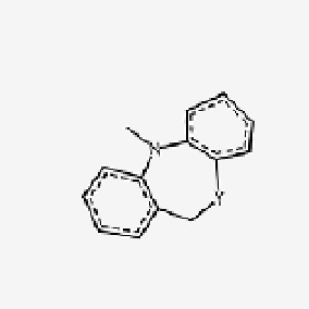 CN1c2ccccc2[CH2][Y][c]2ccccc21